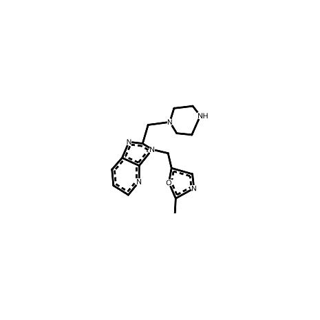 Cc1ncc(Cn2c(CN3CCNCC3)nc3cccnc32)o1